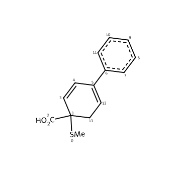 CSC1(C(=O)O)C=CC(c2ccccc2)=CC1